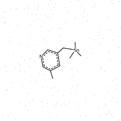 Cc1cncc([CH2][Sn]([CH3])([CH3])[CH3])c1